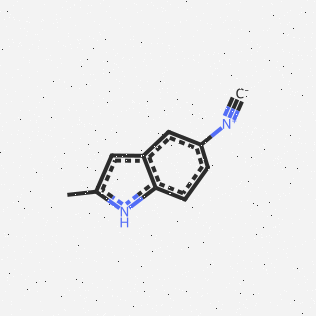 [C-]#[N+]c1ccc2[nH]c(C)cc2c1